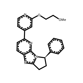 COCCOc1cc(-c2ccc3nc4n(c3n2)[C@@H](c2ccccc2)CC4)ccn1